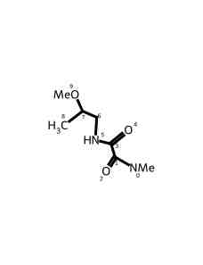 CNC(=O)C(=O)NCC(C)OC